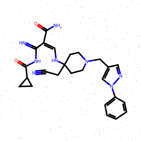 N#CCC1(N/C=C(\C(=N)NC(=O)C2CC2)C(N)=O)CCN(Cc2cnn(-c3ccccc3)c2)CC1